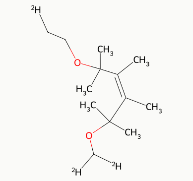 [2H]CCOC(C)(C)/C(C)=C(/C)C(C)(C)OC([2H])[2H]